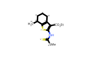 CCOC(=O)c1c(NC(=S)SC)sc2c1CCCC2C